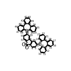 O=S1(=O)c2ccc(B3c4ccccc4-c4ccccc4-c4ccccc43)cc2-c2cc(B3c4ccccc4-c4ccccc4-c4ccccc43)ccc21